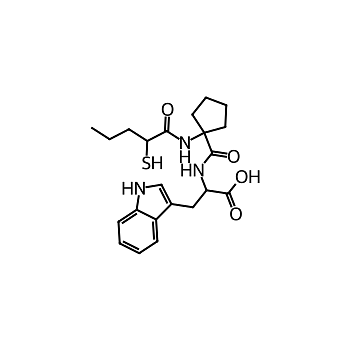 CCCC(S)C(=O)NC1(C(=O)NC(Cc2c[nH]c3ccccc23)C(=O)O)CCCC1